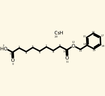 O=C(O)CCCCCCCC(=O)OCc1ccccc1.[CsH]